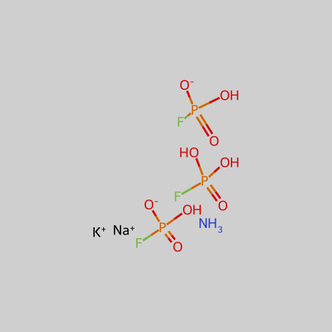 N.O=P(O)(O)F.O=P([O-])(O)F.O=P([O-])(O)F.[K+].[Na+]